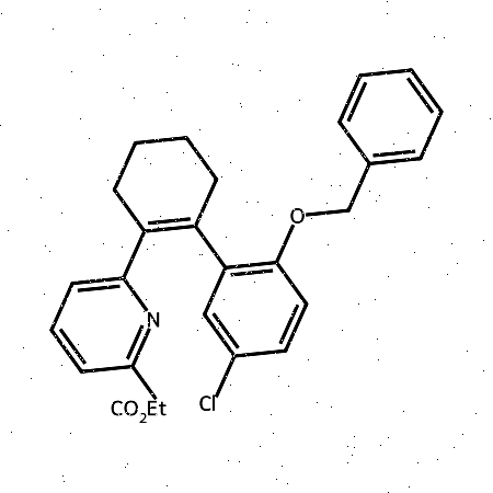 CCOC(=O)c1cccc(C2=C(c3cc(Cl)ccc3OCc3ccccc3)CCCC2)n1